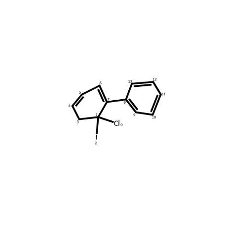 ClC1(I)CC=CC=C1c1ccccc1